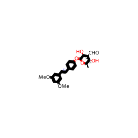 COc1cc(/C=C/c2ccc(OC3O[C@H](C)[C@@H](O)[C@H](C=O)[C@H]3O)cc2)cc(OC)c1